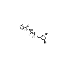 O=C(C=Cc1cc(Br)cc(Br)c1)NC(=S)NNC(=O)c1cccs1